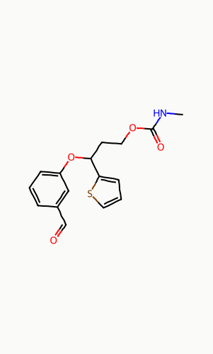 CNC(=O)OCCC(Oc1cccc(C=O)c1)c1cccs1